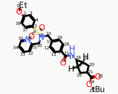 CCOc1ccc(S(=O)(=O)N(Cc2ccc(C(=O)N[C@H]3[C@@H]4CC(C(=O)OC(C)(C)C)C[C@@H]43)cc2)Cc2ccccn2)cc1